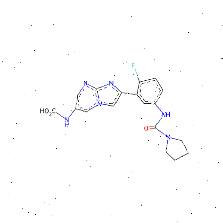 O=C(O)Nc1cnc2nc(-c3cc(NC(=O)N4CCCC4)ccc3F)cn2c1